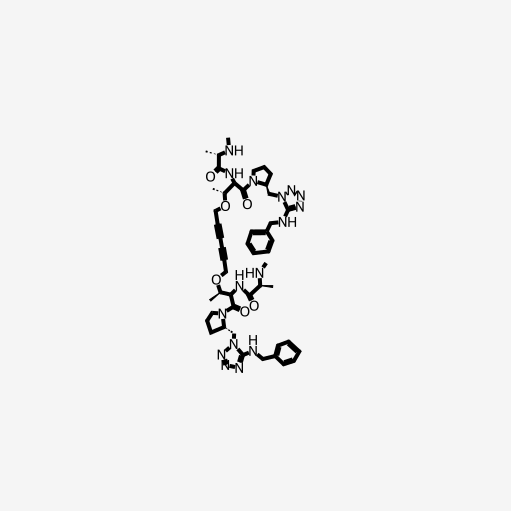 CN[C@@H](C)C(=O)NC(C(=O)N1CCC[C@H]1Cn1nnnc1NCc1ccccc1)[C@@H](C)OCC#CC#CCO[C@H](C)C(NC(=O)[C@H](C)NC)C(=O)N1CCC[C@H]1Cn1nnnc1NCc1ccccc1